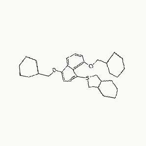 c1cc(OCC2CCCCC2)c2c([S+]3CC4CCCCC4C3)ccc(OCC3CCCCC3)c2c1